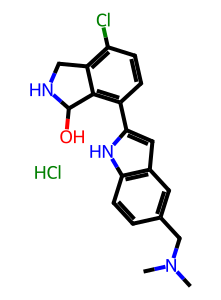 CN(C)Cc1ccc2[nH]c(-c3ccc(Cl)c4c3C(O)NC4)cc2c1.Cl